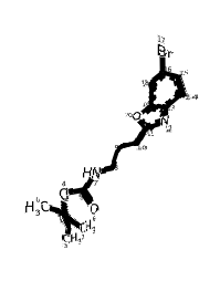 CC(C)(C)OC(=O)NCCCc1nc2ccc(Br)cc2o1